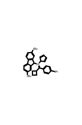 CC(C)c1ccc([C](C2CCC2)=[Hf]([CH]2C=CC=C2)[CH]2c3cc(C(C)(C)C)ccc3-c3ccc(C(C)(C)C)cc32)cc1